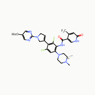 COc1cnc(N2CC=C(c3c(F)cc(N4CCN(C)[C@@H](C)C4)c(NC(=O)c4c[nH]c(=O)cc4C(F)(F)F)c3F)C2)nc1